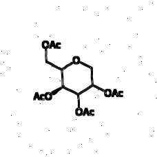 CC(=O)OCC1OCC(OC(C)=O)C(OC(C)=O)[C@H]1OC(C)=O